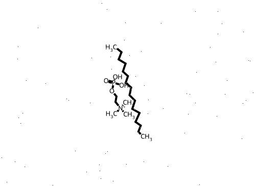 CCCCCCCCCCCCCCCC.C[N+](C)(C)CCOP(=O)(O)O